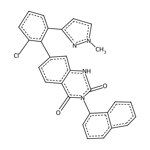 Cn1ccc(-c2cccc(Cl)c2-c2ccc3c(=O)n(-c4cccc5ccccc45)c(=O)[nH]c3c2)n1